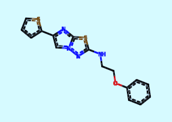 c1ccc(OCCNc2nn3cc(-c4cccs4)nc3s2)cc1